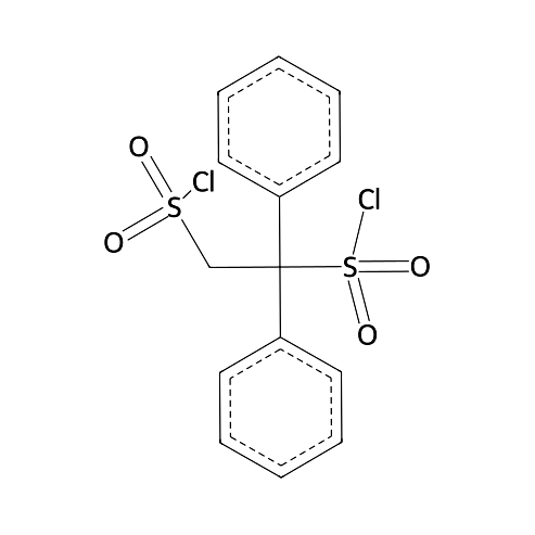 O=S(=O)(Cl)CC(c1ccccc1)(c1ccccc1)S(=O)(=O)Cl